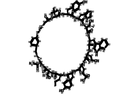 CCC[C@@H]1NC(=O)[C@H](Cc2ccc(O)cc2)NC(=O)[C@H](CCC(=O)O)NC(=O)[C@H](CCO)NC(=O)[C@H](Cc2c[nH]c3ncccc23)NC(=O)[C@H]([C@@H](C)O)NC(=O)[C@H](Cc2cnc[nH]2)NC(=O)[C@H](Cc2ccc(O)cc2)NC(=O)[C@H](C(C)(C)C)NC(=O)CCSCc2cccc(c2)CSC[C@@H](C(N)=O)NC(=O)[C@H]([C@@H](C)O)NC1=O